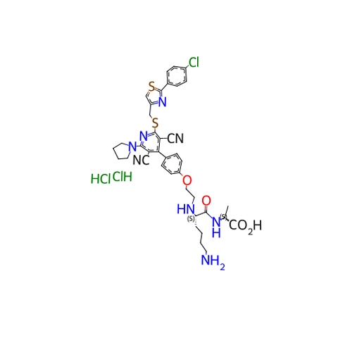 C[C@H](NC(=O)[C@H](CCCCN)NCCOc1ccc(-c2c(C#N)c(SCc3csc(-c4ccc(Cl)cc4)n3)nc(N3CCCC3)c2C#N)cc1)C(=O)O.Cl.Cl